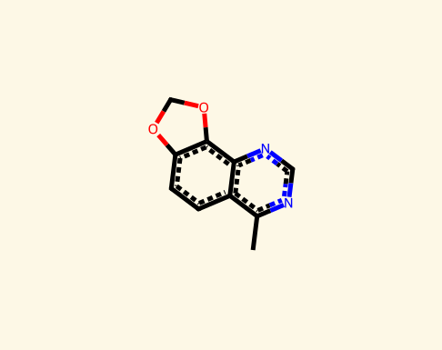 Cc1ncnc2c3c(ccc12)OCO3